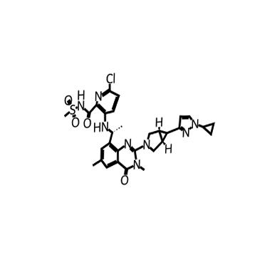 Cc1cc([C@@H](C)Nc2ccc(Cl)nc2C(=O)NS(C)(=O)=O)c2nc(N3C[C@@H]4C(c5ccn(C6CC6)n5)[C@@H]4C3)n(C)c(=O)c2c1